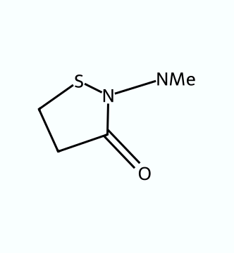 CNN1SCCC1=O